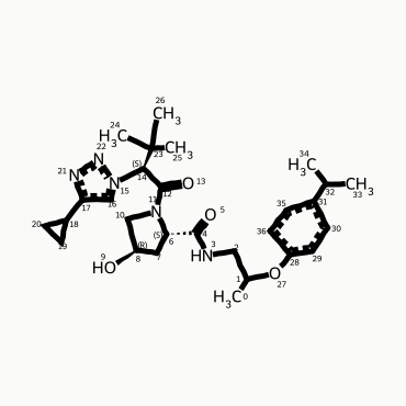 CC(CNC(=O)[C@@H]1C[C@@H](O)CN1C(=O)[C@@H](n1cc(C2CC2)nn1)C(C)(C)C)Oc1ccc(C(C)C)cc1